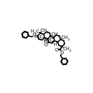 CC1(C)C2CC[C@]3(C)[C@H](C(=O)C=C4[C@@H]5C[C@@](C)(C(=O)OCc6ccccc6)CC[C@]5(C)CC[C@]43C)[C@@]2(C)CC[C@@H]1OCc1ccccc1